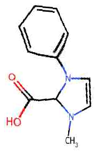 CN1C=CN(c2ccccc2)C1C(=O)O